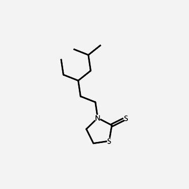 CCC(CCN1CCSC1=S)CC(C)C